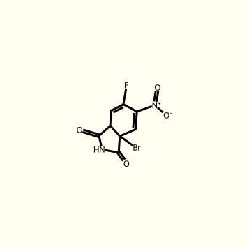 O=C1NC(=O)C2(Br)C=C([N+](=O)[O-])C(F)=CC12